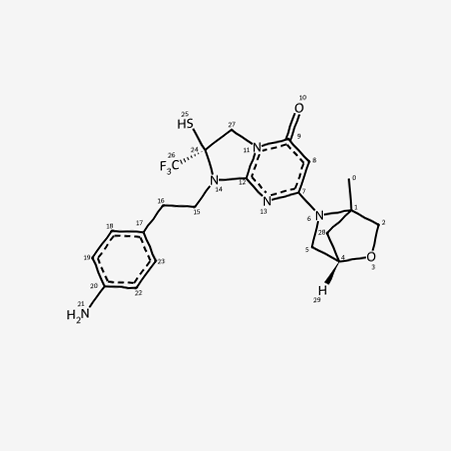 CC12CO[C@H](CN1c1cc(=O)n3c(n1)N(CCc1ccc(N)cc1)[C@](S)(C(F)(F)F)C3)C2